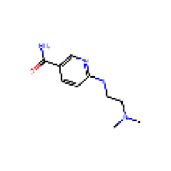 CN(C)CCNc1ccc(C(N)=O)cn1